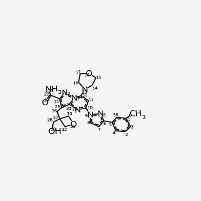 Cc1cccc(-c2ccn(-c3cc(N4CCOCC4)n4nc(C(N)=O)c(CC5(CO)COC5)c4n3)n2)c1